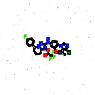 COc1cc(NC2=NN3C(c4ccc(F)cc4)CCCC3N2OC(=O)C(F)(F)F)ccc1-n1cnc(Cl)c1